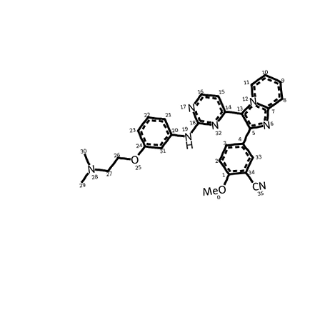 COc1ccc(-c2nc3ccccn3c2-c2ccnc(Nc3cccc(OCCN(C)C)c3)n2)cc1C#N